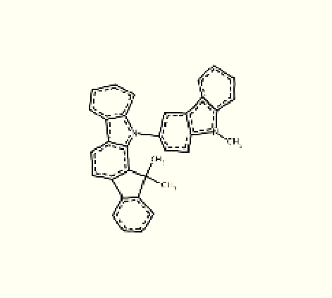 Cn1c2ccccc2c2cc(-n3c4ccccc4c4ccc5c(c43)C(C)(C)c3ccccc3-5)ccc21